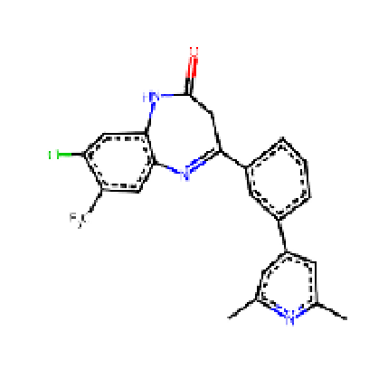 Cc1cc(-c2cccc(C3=Nc4cc(C(F)(F)F)c(Cl)cc4NC(=O)C3)c2)cc(C)n1